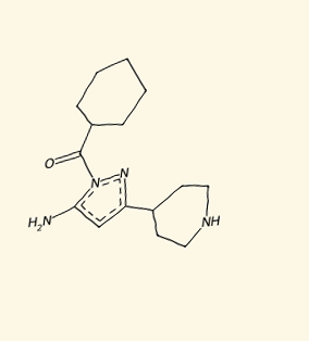 Nc1cc(C2CCNCC2)nn1C(=O)C1CCCCC1